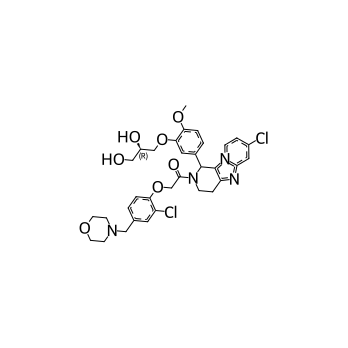 COc1ccc(C2c3c(nc4cc(Cl)ccn34)CCN2C(=O)COc2ccc(CN3CCOCC3)cc2Cl)cc1OC[C@H](O)CO